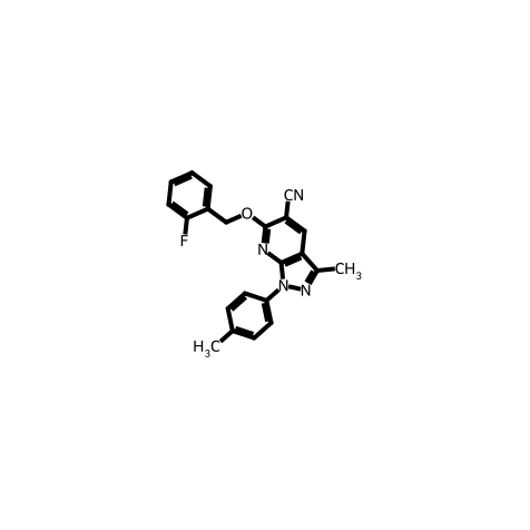 Cc1ccc(-n2nc(C)c3cc(C#N)c(OCc4ccccc4F)nc32)cc1